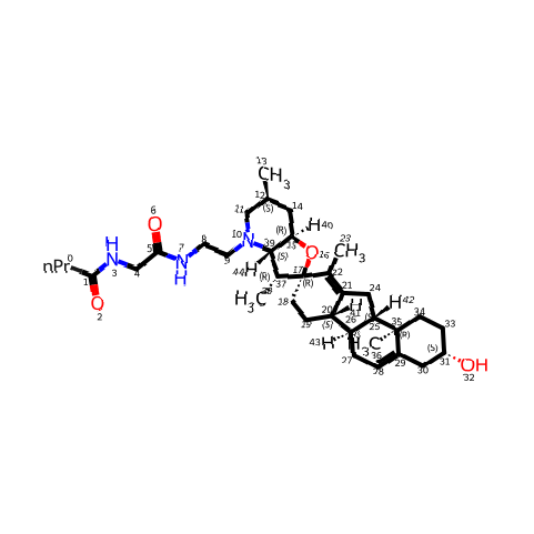 CCCC(=O)NCC(=O)NCCN1C[C@@H](C)C[C@H]2O[C@]3(CC[C@@H]4C(=C3C)C[C@H]3[C@H]4CC=C4C[C@@H](O)CC[C@@]43C)[C@H](C)[C@@H]21